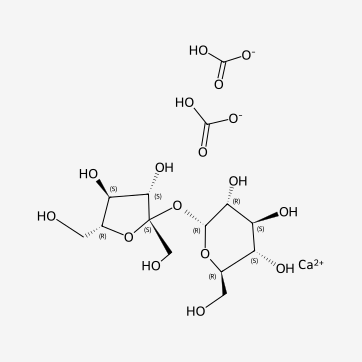 O=C([O-])O.O=C([O-])O.OC[C@H]1O[C@@](CO)(O[C@H]2O[C@H](CO)[C@@H](O)[C@H](O)[C@H]2O)[C@@H](O)[C@@H]1O.[Ca+2]